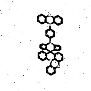 c1ccc2c(c1)Oc1cccc3c1B2c1ccccc1C31c2ccccc2B(c2ccc(N3c4ccccc4Oc4ccccc43)cc2)c2ccccc21